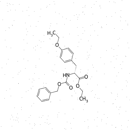 CCOC(=O)[C@@H](Cc1ccc(OCC)cc1)NC(=O)OCc1ccccc1